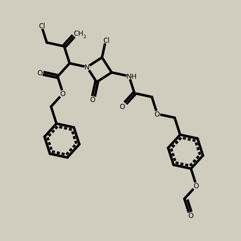 C=C(CCl)C(C(=O)OCc1ccccc1)N1C(=O)C(NC(=O)COCc2ccc(OC=O)cc2)C1Cl